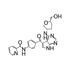 O=C(Nc1ccc(C(=O)c2c[nH]c3ncnc(N[C@H]4CC[C@H](CO)OC4)c23)cc1)c1ccccn1